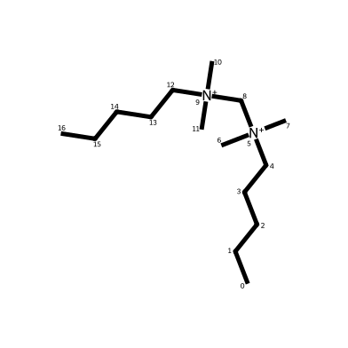 CCCCC[N+](C)(C)C[N+](C)(C)CCCCC